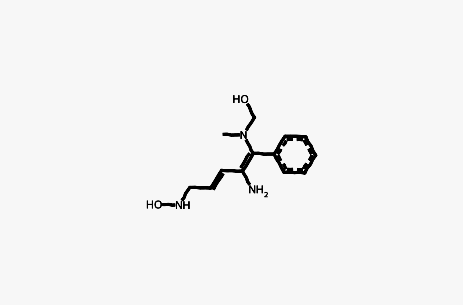 CN(CO)/C(=C(N)\C=C\CNO)c1ccccc1